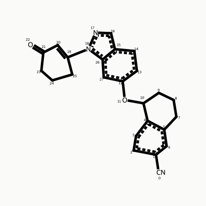 N#Cc1ccc2c(c1)CCCC2Oc1ccc2cnn(C3=CC(=O)CCC3)c2c1